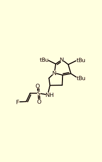 CC(C)(C)C1=NC(C(C)(C)C)C(C(C)(C)C)=C2CC(NS(=O)(=O)/C=C/F)CN12